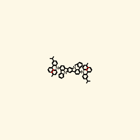 Cc1ccc(N(c2ccc(C(C)C)cc2-c2ccccc2)c2ccc3c4cc5c(cc4n4c3c2-c2cccc(c2)C4)c2ccc(N(c3ccc(C)cc3)c3ccc(C(C)C)cc3-c3ccccc3)c3c4ccccc4n5c23)cc1